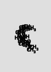 CCCCC(CC)COC(=O)c1ccc(NC2=NC(Nc3ccc(C(=O)OCC(CC)CCCC)cc3)N(CC(CC)CCCC)C(Nc3ccc(C(=O)OCC(CC)CCCC)cc3)=N2)cc1